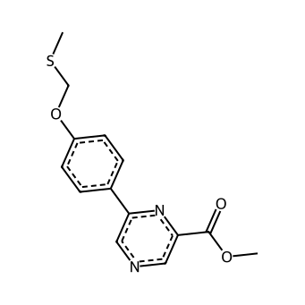 COC(=O)c1cncc(-c2ccc(OCSC)cc2)n1